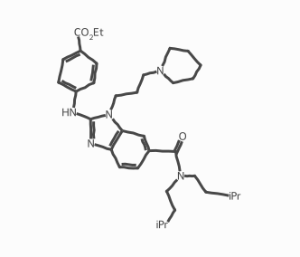 CCOC(=O)c1ccc(Nc2nc3ccc(C(=O)N(CCC(C)C)CCC(C)C)cc3n2CCCN2CCCCC2)cc1